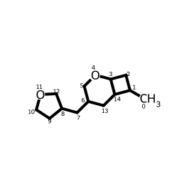 CC1CC2OCC(CC3CCOC3)CC12